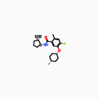 Cc1cc(F)c(O[C@H]2CC[C@@H](C)CC2)cc1C(=O)N[C@@H]1CCC[C@@H]1C=O